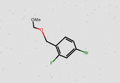 COCOCc1ccc(Br)cc1F